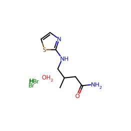 Br.Br.CC(CNc1nccs1)CC(N)=O.O